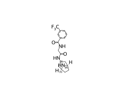 O=C(CNC(=O)c1cccc(C(F)(F)F)c1)N[C@@H]1C[C@H]2CC[C@@H](C1)N2